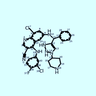 N#Cc1cnc2c(Cl)cc(N[C@H](C3=CN(C4CCNCC4)NN3)c3ccccc3)cc2c1Nc1ccc(F)c(Cl)c1